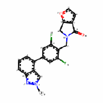 Cn1cc2c(-c3cc(F)c(CN4Cc5occc5C4=O)c(F)c3)cccc2n1